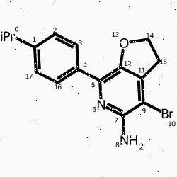 CC(C)c1ccc(-c2nc(N)c(Br)c3c2OCC3)cc1